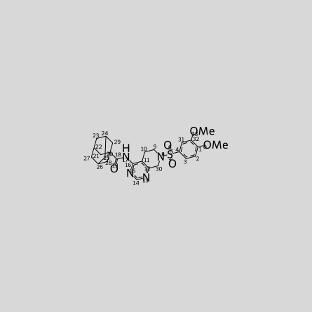 COc1ccc(S(=O)(=O)N2CCc3c(ncnc3NC(=O)C34CC5CC(CC(C5)C3)C4)C2)cc1OC